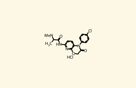 CNC(C)C(=O)Nc1ccc2c(n1)OCC(=O)N2c1ccc(Cl)cc1.Cl